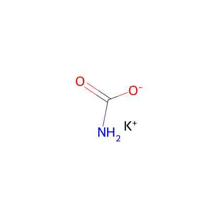 NC(=O)[O-].[K+]